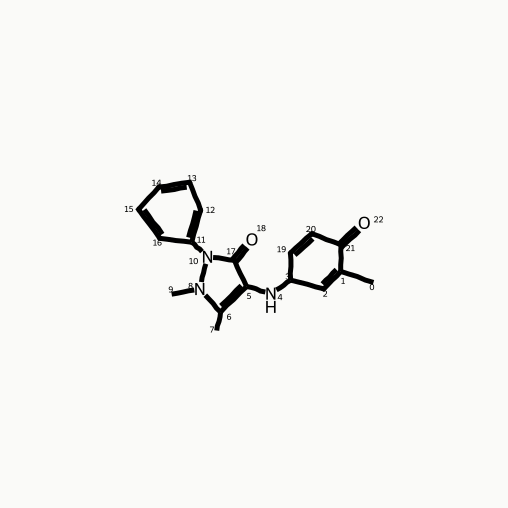 CC1=CC(Nc2c(C)n(C)n(-c3ccccc3)c2=O)C=CC1=O